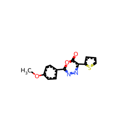 COc1ccc(-c2nnc(-c3cccs3)c(=O)o2)cc1